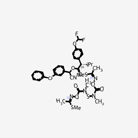 CC(C)[C@H](C(=O)OC(C#N)c1cccc(Oc2ccccc2)c1)c1ccc(OC(F)F)cc1.CS/C(C)=N\OC(=O)N(C)SN(C)C(=O)O/N=C(/C)SC